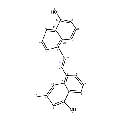 Cc1cc(O)c2cccc(/N=N/c3cccc4c(O)cccc34)c2c1